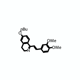 CCCCOc1ccc2c(c1)CCN=C2/C=C/c1ccc(OC)c(OC)c1